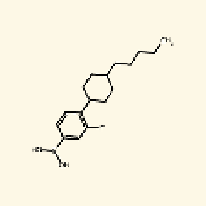 CCCCCC1CCC(c2ccc(B(O)O)cc2F)CC1